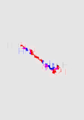 COCCNC(=O)COCCOCCNC(=O)CCC(NC(C)=O)C(=O)O